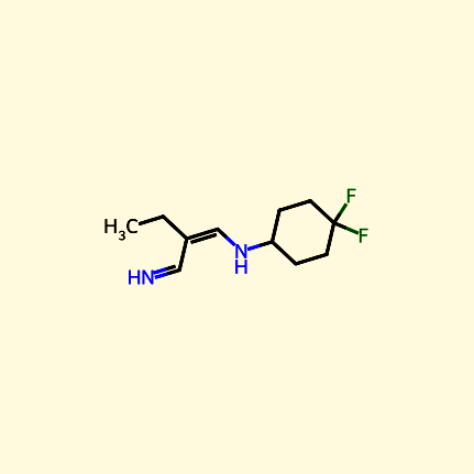 CC/C(C=N)=C/NC1CCC(F)(F)CC1